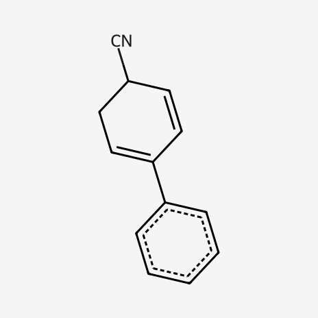 N#CC1C=CC(c2ccccc2)=CC1